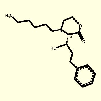 CCCCCC[C@H]1CCOC(=O)[C@@H]1C(O)CCc1ccccc1